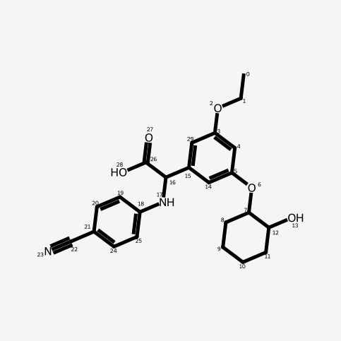 CCOc1cc(OC2CCCCC2O)cc(C(Nc2ccc(C#N)cc2)C(=O)O)c1